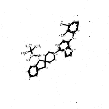 CC(C)(C)[S+]([O-])N[C@H]1c2ccccc2CC12CCN(c1ncc(Sc3cccc(Cl)c3Cl)c3nccn13)CC2